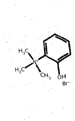 C[N+](C)(C)c1ccccc1O.[Br-]